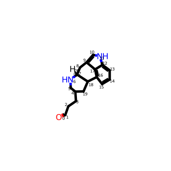 O=CCCC1CN[C@@H]2Cc3c[nH]c4cccc(c34)C2C1